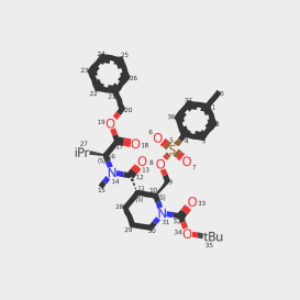 Cc1ccc(S(=O)(=O)OC[C@@H]2[C@@H](C(=O)N(C)[C@H](C(=O)OCc3ccccc3)C(C)C)CCCN2C(=O)OC(C)(C)C)cc1